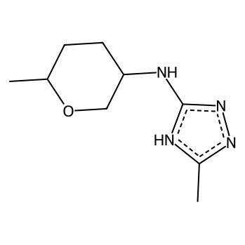 Cc1nnc(NC2CCC(C)OC2)[nH]1